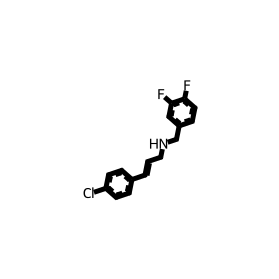 Fc1ccc(CNCC=Cc2ccc(Cl)cc2)cc1F